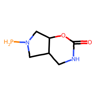 O=C1NCC2CN(P)CC2O1